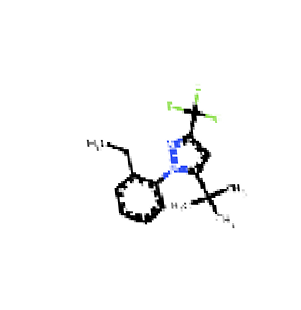 CCc1ccccc1-n1nc(C(F)(F)F)cc1C(C)(C)C